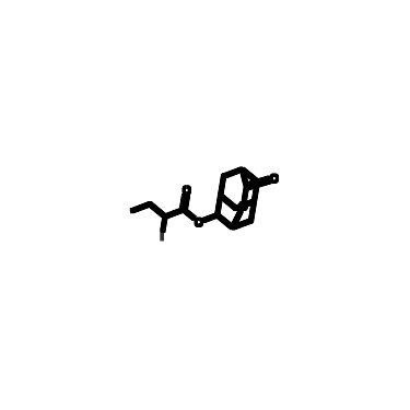 CCC(I)C(=O)OC1C2CC3CC(C2)C(=O)OC1C3